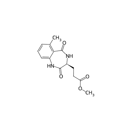 COC(=O)CC[C@@H]1NC(=O)c2c(C)cccc2NC1=O